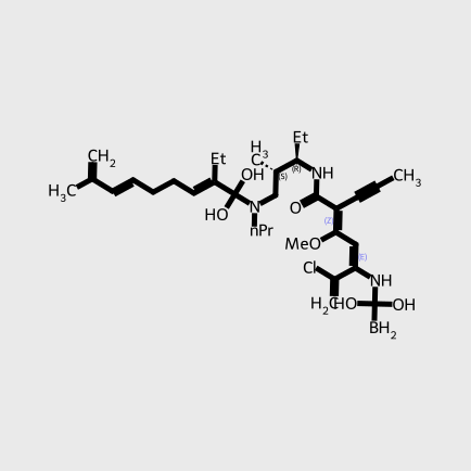 BC(O)(O)N/C(=C/C(OC)=C(\C#CC)C(=O)N[C@H](CC)[C@@H](C)CN(CCC)C(O)(O)C(=CCCC=CC(=C)C)CC)C(=C)Cl